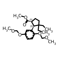 CCC1(CC)CC[C@H](C(=O)OC)[C@@H]1c1cc(OCOC)ccc1OCOC